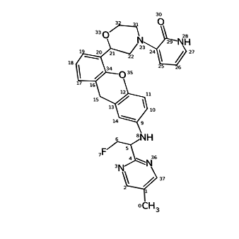 Cc1cnc(C(CF)Nc2ccc3c(c2)Cc2cccc(C4CN(c5ccc[nH]c5=O)CCO4)c2O3)nc1